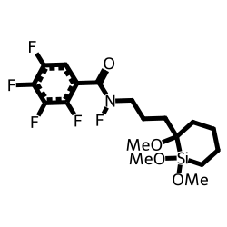 COC1(CCCN(F)C(=O)c2cc(F)c(F)c(F)c2F)CCCC[Si]1(OC)OC